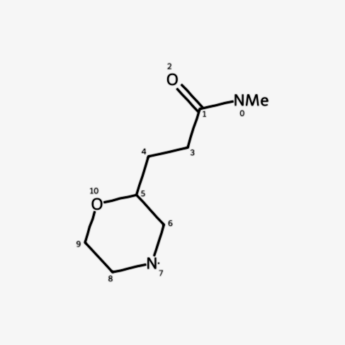 CNC(=O)CCC1C[N]CCO1